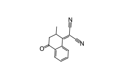 CC1CC(=O)c2ccccc2C1=C(C#N)C#N